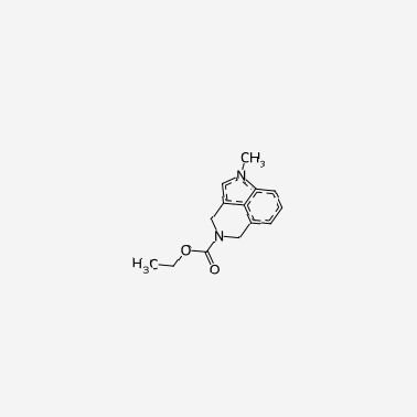 CCOC(=O)N1Cc2cccc3c2c(cn3C)C1